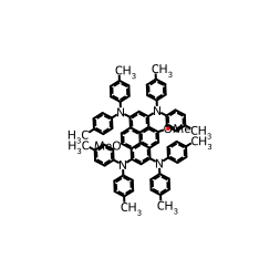 COc1cc2c(N(c3ccc(C)cc3)c3ccc(C)cc3)cc(N(c3ccc(C)cc3)c3ccc(C)cc3)c3c(OC)cc4c(N(c5ccc(C)cc5)c5ccc(C)cc5)cc(N(c5ccc(C)cc5)c5ccc(C)cc5)c1c4c23